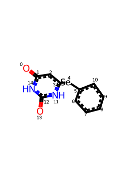 O=c1cc([Se]c2ccccc2)[nH]c(=O)[nH]1